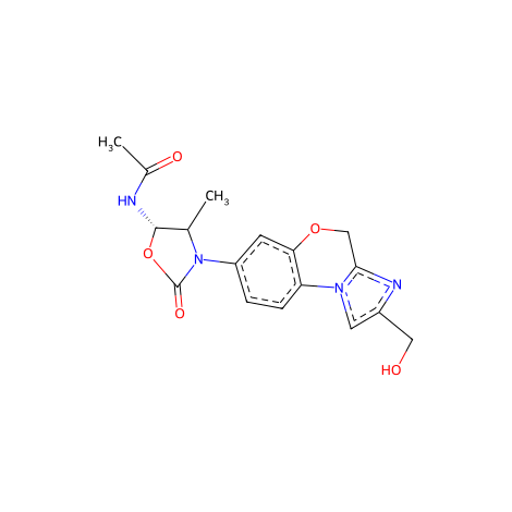 CC(=O)N[C@H]1OC(=O)N(c2ccc3c(c2)OCc2nc(CO)cn2-3)C1C